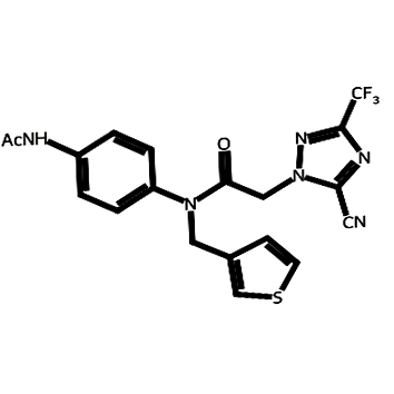 CC(=O)Nc1ccc(N(Cc2ccsc2)C(=O)Cn2nc(C(F)(F)F)nc2C#N)cc1